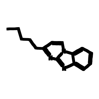 CCCCCc1ccn2c(n1)nc1ccccc12